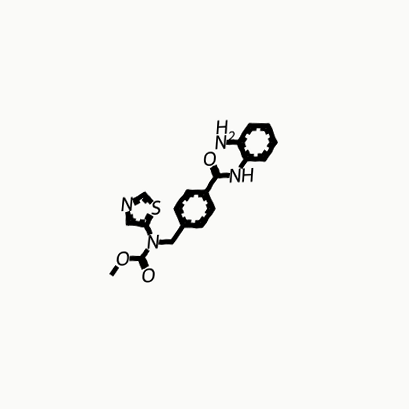 COC(=O)N(Cc1ccc(C(=O)Nc2ccccc2N)cc1)c1cncs1